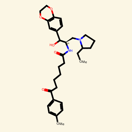 COCC1CCCN1C[C@@H](NC(=O)CCCCCC(=O)c1ccc(OC)cc1)C(O)c1ccc2c(c1)OCCO2